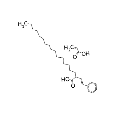 C=CC(=O)O.CCCCCCCCCCCCCCCCC(C=Cc1ccccc1)C(=O)O